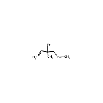 C=CC(C)(CO[SiH3])C(C)C